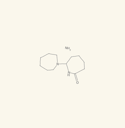 N.O=C1CCCCC(N2CCCCCC2)N1